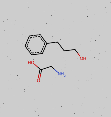 NCC(=O)O.OCCCc1ccccc1